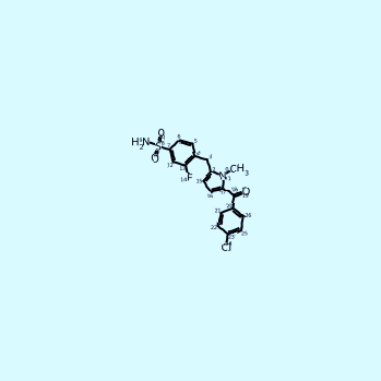 Cn1c(Cc2ccc(S(N)(=O)=O)cc2F)ccc1C(=O)c1ccc(Cl)cc1